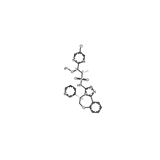 CC(C)O[C@@H](c1ncc(Cl)cn1)[C@H](C)S(=O)(=O)Nc1nnc2n1[C@@H](c1cccnc1)COc1ccccc1-2